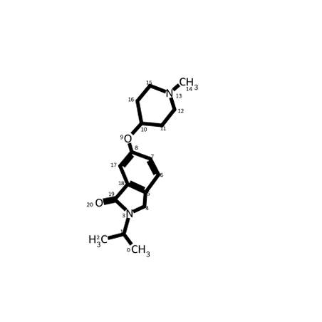 CC(C)N1Cc2ccc(OC3CCN(C)CC3)cc2C1=O